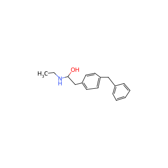 CCNC(O)Cc1ccc(Cc2ccccc2)cc1